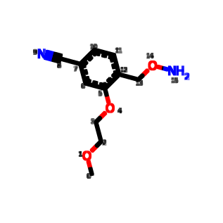 COCCOc1cc(C#N)ccc1CON